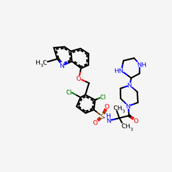 Cc1ccc2cccc(OCc3c(Cl)ccc(S(=O)(=O)NC(C)(C)C(=O)N4CCN(C5CNCCN5)CC4)c3Cl)c2n1